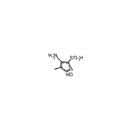 Cc1csc(C(=O)O)c1N.Cl